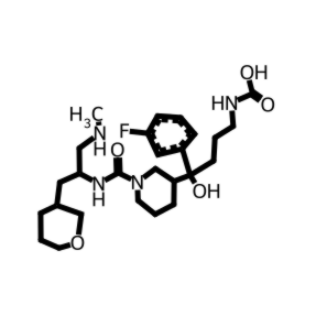 CNCC(CC1CCCOC1)NC(=O)N1CCCC(C(O)(CCCNC(=O)O)c2cccc(F)c2)C1